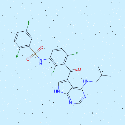 CC(C)CNc1ncnc2[nH]cc(C(=O)c3c(F)ccc(NS(=O)(=O)c4cc(F)ccc4F)c3F)c12